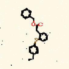 CCc1ccc(Sc2ccccc2CC(=O)OCc2ccccc2)cc1